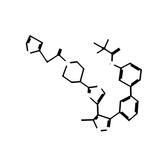 Cc1onc(-c2cccc(-c3cccc(NC(=O)C(F)(F)F)c3)c2)c1-c1csc(C2CCN(C(=O)Cc3cccs3)CC2)n1